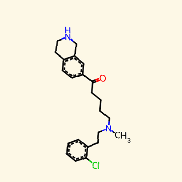 CN(CCCCC(=O)c1ccc2c(c1)CNCC2)CCc1ccccc1Cl